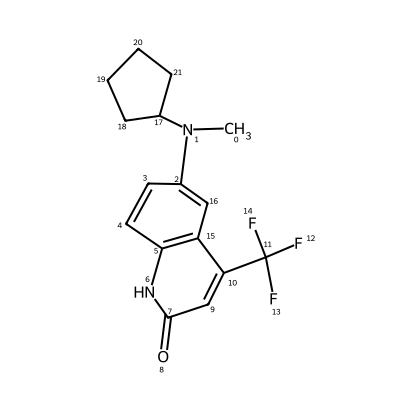 CN(c1ccc2[nH]c(=O)cc(C(F)(F)F)c2c1)C1CCCC1